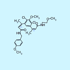 COCCNC(=O)/C=C(/C)c1cc(/C(C)=C\C(=O)NCc2ccc(OC)cc2)c(Cl)c(OC)c1Cl